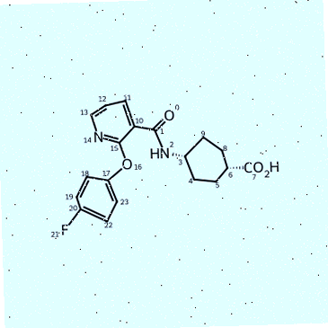 O=C(N[C@H]1CC[C@@H](C(=O)O)CC1)c1cccnc1Oc1ccc(F)cc1